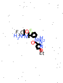 CCOc1ccc(C(=O)Nc2ccc(F)c(C3(C)COC(C)(C(F)(F)F)C(N)=N3)c2)c(N)n1